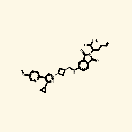 COc1ccc(-c2cn([C@H]3C[C@H](CNc4ccc5c(c4)C(=O)N(C(CCC=O)C(N)=O)C5=O)C3)nc2C2CC2)nc1